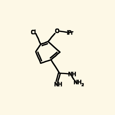 CC(C)Oc1cc(C(=N)NN)ccc1Cl